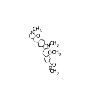 COC(=O)c1ccc(Cc2cn(C)c3ccc(CC4CCN(C)C4=O)cc23)c(OC)c1